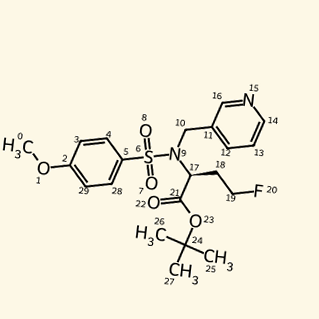 COc1ccc(S(=O)(=O)N(Cc2cccnc2)[C@@H](CCF)C(=O)OC(C)(C)C)cc1